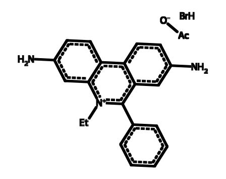 Br.CC(=O)[O-].CC[n+]1c(-c2ccccc2)c2cc(N)ccc2c2ccc(N)cc21